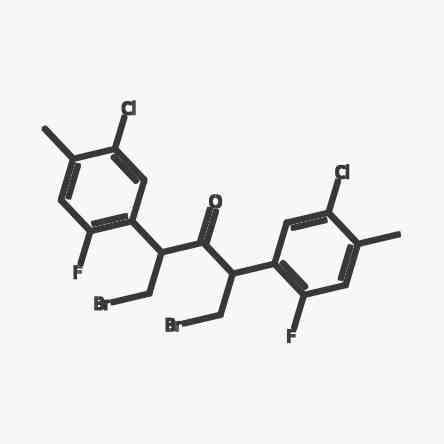 Cc1cc(F)c(C(CBr)C(=O)C(CBr)c2cc(Cl)c(C)cc2F)cc1Cl